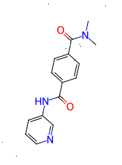 CN(C)C(=O)c1ccc(C(=O)Nc2cccnc2)cc1